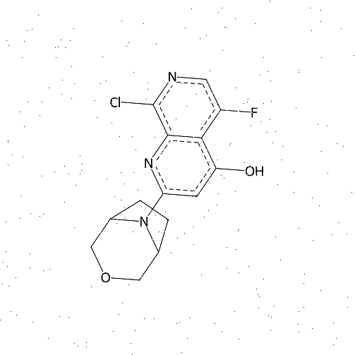 Oc1cc(N2C3CCC2COC3)nc2c(Cl)ncc(F)c12